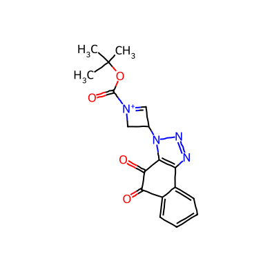 CC(C)(C)OC(=O)[N+]1=CC(n2nnc3c2C(=O)C(=O)c2ccccc2-3)C1